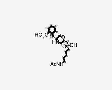 CC(=O)NCCCCCP(=O)(O)C[C@H]1CN[C@H](Cc2ccccc2C(=O)O)CO1